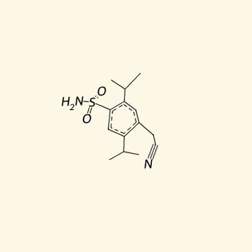 CC(C)c1cc(S(N)(=O)=O)c(C(C)C)cc1CC#N